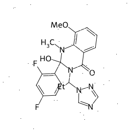 CCC(N1C(=O)c2cccc(OC)c2N(C)C1(O)c1ccc(F)cc1F)n1cncn1